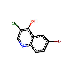 Oc1c(Cl)cnc2ccc(Br)cc12